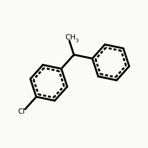 C[C](c1ccccc1)c1ccc(Cl)cc1